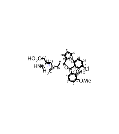 COc1cccc([C@H]2O[C@H](CCN(C)/C=C(/CC(=O)O)N=N)c3cccn3-c3ccc(Cl)cc32)c1OC